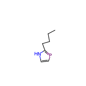 CCCCc1[nH]ccp1